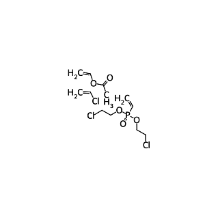 C=CCl.C=COC(C)=O.C=CP(=O)(OCCCl)OCCCl